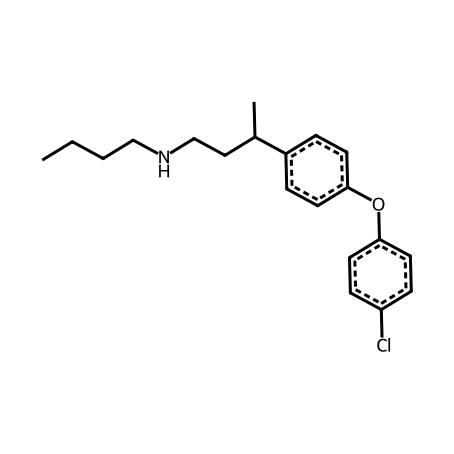 CCCCNCCC(C)c1ccc(Oc2ccc(Cl)cc2)cc1